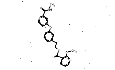 CNC(=O)c1cc(Oc2cccc(CCNC(=O)c3cccnc3OC)c2)ccn1